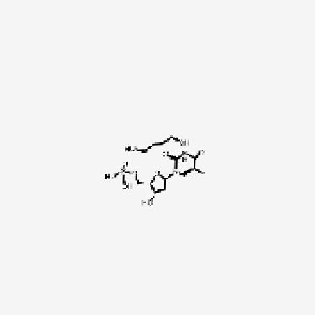 Cc1cn([C@H]2C[C@H](O)[C@@H](COP(=O)(O)O)O2)c(=O)[nH]c1=O.OCCCCO